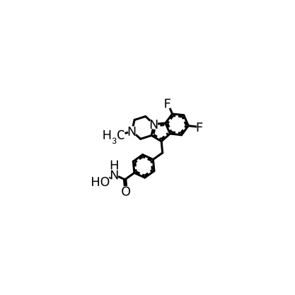 CN1CCn2c(c(Cc3ccc(C(=O)NO)cc3)c3cc(F)cc(F)c32)C1